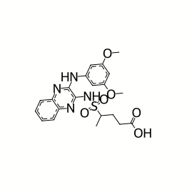 COc1cc(Nc2nc3ccccc3nc2NS(=O)(=O)C(C)CCC(=O)O)cc(OC)c1